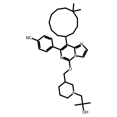 CC(C)(O)CN1CCCC(COc2nc(-c3ccc(C#N)cc3)c(C3CCCCCCC(C)(C)CCC3)c3nccn23)C1